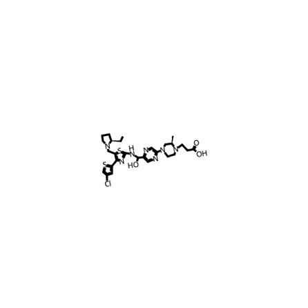 CC[C@@H]1CCCN1Cc1sc(NC(O)c2cnc(N3CCN(CCC(=O)O)[C@H](C)C3)cn2)nc1-c1cc(Cl)cs1